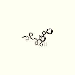 CCOC(=O)CCC(=O)c1nc(Oc2ccccc2)ccc1O